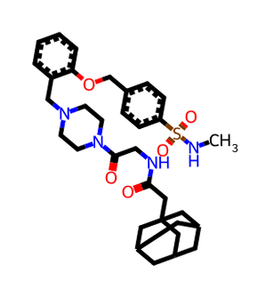 CNS(=O)(=O)c1ccc(COc2ccccc2CN2CCN(C(=O)CNC(=O)CC34CC5CC(CC(C5)C3)C4)CC2)cc1